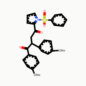 COc1ccc(C(=O)C(CC(=O)c2cccn2S(=O)(=O)c2ccccc2)c2ccc(OC)cc2)cc1